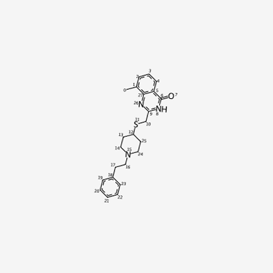 Cc1cccc2c(=O)[nH]c(CSC3CCN(CCc4ccccc4)CC3)nc12